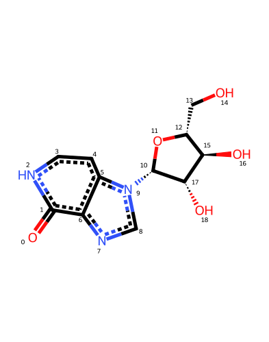 O=c1[nH]ccc2c1ncn2[C@@H]1O[C@H](CO)[C@@H](O)[C@@H]1O